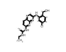 CCNC(=S)Nc1ccc2ncc(Nc3cc(Cl)ccc3CO)nc2n1